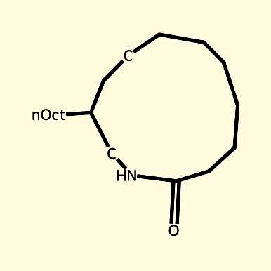 CCCCCCCCC1CCCCCCCCC(=O)NC1